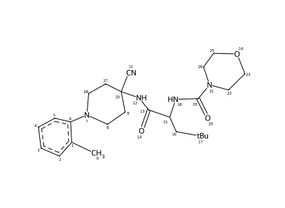 Cc1ccccc1N1CCC(C#N)(NC(=O)C(CC(C)(C)C)NC(=O)N2CCOCC2)CC1